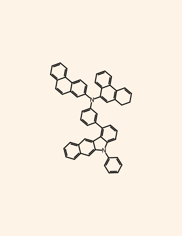 C1=Cc2c(cc(N(c3cccc(-c4cccc5c4c4cc6ccccc6cc4n5-c4ccccc4)c3)c3ccc4c(ccc5ccccc54)c3)c3ccccc23)CC1